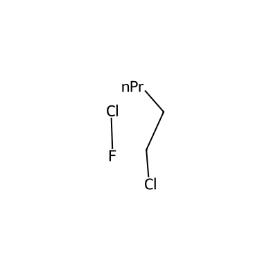 CCCCCCl.FCl